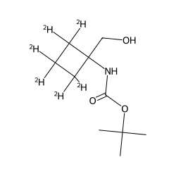 [2H]C1([2H])C([2H])([2H])C(CO)(NC(=O)OC(C)(C)C)C1([2H])[2H]